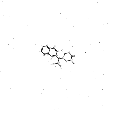 C[C@@H]1CN[C@@H](C)CN1C(c1cnc2ccccc2n1)C(F)F